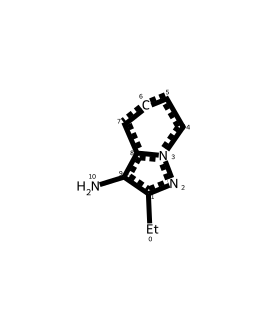 CCc1nn2ccccc2c1N